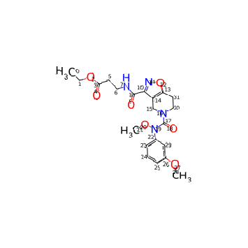 CCOC(=O)CCNC(=O)c1noc2c1CN(C(=O)N(OC)c1cccc(OC)c1)CC2